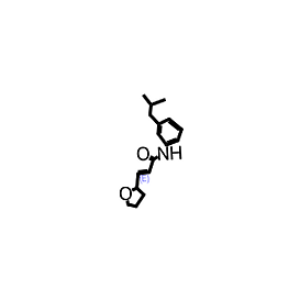 CC(C)Cc1cccc(NC(=O)/C=C/C2CCCO2)c1